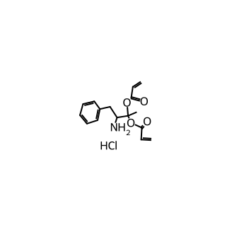 C=CC(=O)OC(C)(OC(=O)C=C)C(N)Cc1ccccc1.Cl